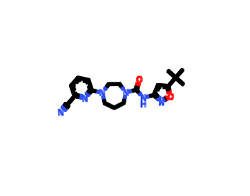 CC(C)(C)c1cc(NC(=O)N2CCCN(c3cccc(C#N)n3)CC2)no1